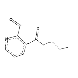 CCCCC(=O)c1cccnc1[C]=O